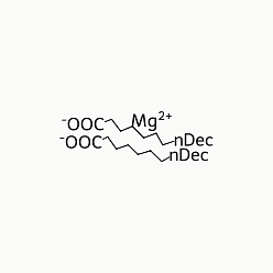 CCCCCCCCCCCCCCCCC(=O)[O-].CCCCCCCCCCCCCCCCC(=O)[O-].[Mg+2]